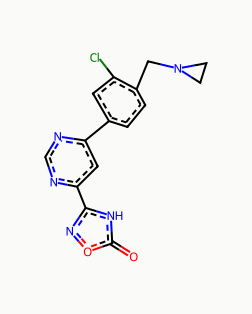 O=c1[nH]c(-c2cc(-c3ccc(CN4CC4)c(Cl)c3)ncn2)no1